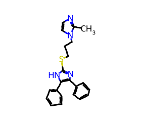 Cc1nccn1CCCSc1nc(-c2ccccc2)c(-c2ccccc2)[nH]1